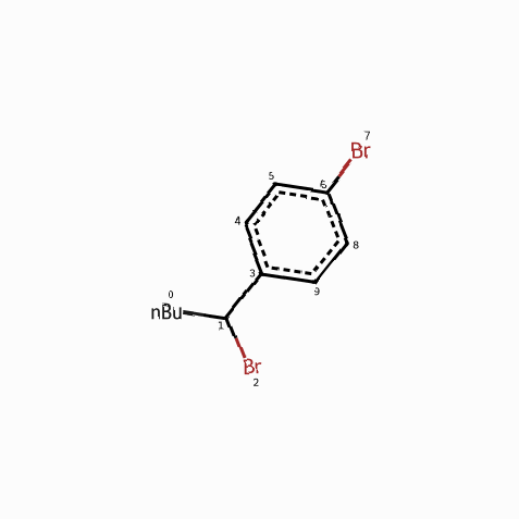 CCCCC(Br)c1ccc(Br)cc1